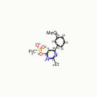 CCc1nc(OS(=O)(=O)C(F)(F)F)cc(-c2cccc(OC)c2)n1